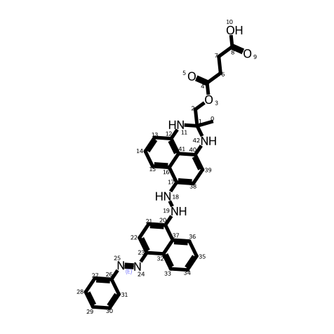 CC1(COC(=O)CCC(=O)O)Nc2cccc3c(NNc4ccc(/N=N/c5ccccc5)c5ccccc45)ccc(c23)N1